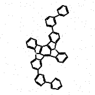 c1ccc(-c2cccc(-c3ccc4c(c3)c3c5c6ccccc6n6c7ccc(-c8cccc(-c9ccccc9)c8)cc7c(c7c8ccccc8n4c73)c56)c2)cc1